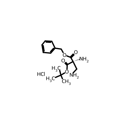 CC(C)(C)OC(=O)[C@](N)(CN)C(=O)OCc1ccccc1.Cl